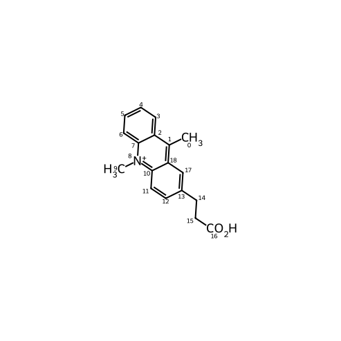 Cc1c2ccccc2[n+](C)c2ccc(CCC(=O)O)cc12